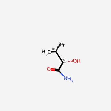 CC(C)[C@H](C)[C@H](O)C(N)=O